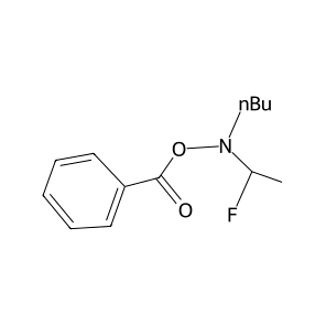 CCCCN(OC(=O)c1ccccc1)C(C)F